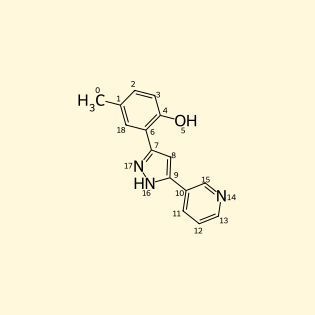 Cc1ccc(O)c(-c2cc(-c3cccnc3)[nH]n2)c1